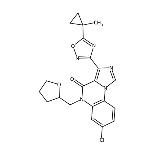 CC1(c2nc(-c3ncn4c3c(=O)n(CC3CCCO3)c3cc(Cl)ccc34)no2)CC1